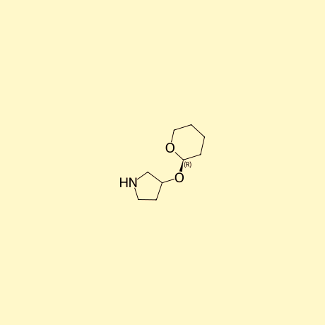 C1CC[C@@H](OC2CCNC2)OC1